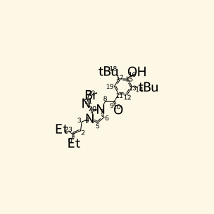 CCC(=CCn1ccn(CC(=O)c2cc(C(C)(C)C)c(O)c(C(C)(C)C)c2)/c1=N\Br)CC